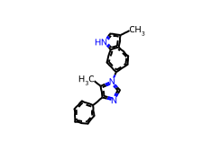 Cc1c[nH]c2cc(-n3cnc(-c4ccccc4)c3C)ccc12